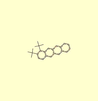 CC(C)(C)c1ccc2cc3cc4ccccc4cc3cc2c1C(C)(C)C